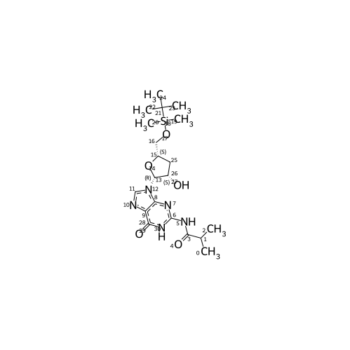 CC(C)C(=O)Nc1nc2c(ncn2[C@@H]2O[C@H](CO[Si](C)(C)C(C)(C)C)C[C@@H]2O)c(=O)[nH]1